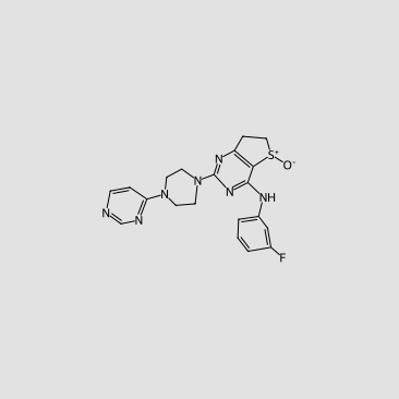 [O-][S+]1CCc2nc(N3CCN(c4ccncn4)CC3)nc(Nc3cccc(F)c3)c21